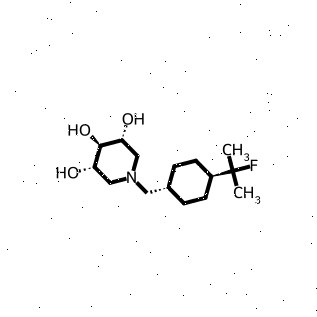 CC(C)(F)[C@H]1CC[C@H](CN2C[C@@H](O)[C@H](O)[C@@H](O)C2)CC1